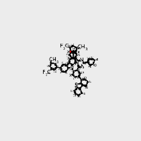 Cc1cc(-c2ccc3c(c2)c2cc(-c4cc(C)cc(C(F)(F)F)c4)ccc2n3-c2ccc(-c3cccc4c3sc3ccccc34)cc2-c2nc(-c3ccccc3)nc(-c3ccccc3)n2)cc(C(F)(F)F)c1